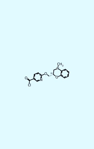 CN1C[C@@H](COc2ccc(C(=O)Cl)cn2)Oc2ccccc21